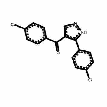 O=C(c1ccc(Cl)cc1)c1cn[nH]c1-c1ccc(Cl)cc1